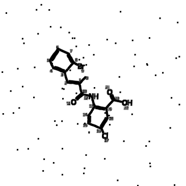 CC(=Cc1ccccc1Br)C(=O)Nc1ccc(Cl)cc1C(=O)O